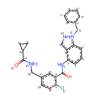 O=C(Nc1cccc2c1cnn2Cc1ccccc1)c1cc(CNC(=O)C2CC2)ccc1Cl